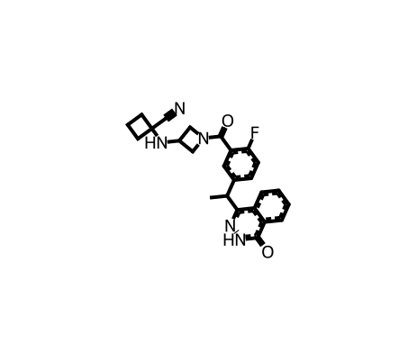 CC(c1ccc(F)c(C(=O)N2CC(NC3(C#N)CCC3)C2)c1)c1n[nH]c(=O)c2ccccc12